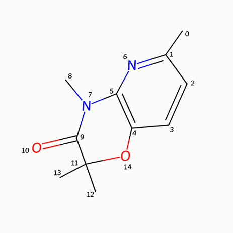 Cc1ccc2c(n1)N(C)C(=O)C(C)(C)O2